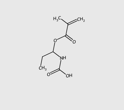 C=C(C)C(=O)OC(CC)NC(=O)O